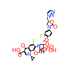 O=C(O)c1cn(C2CC2)c2c3c(c(F)cc2c1=O)N1C[C@@](COc2ccc(N4C[C@@H](Cn5ccnn5)OC4=O)cc2F)(OP(=O)(O)O)C[C@@H]1CO3